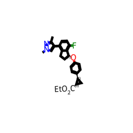 CCOC(=O)[C@H]1C[C@@H]1c1ccc(O[C@@H]2CCc3c(-c4cn(C)nc4C)ccc(F)c32)cc1